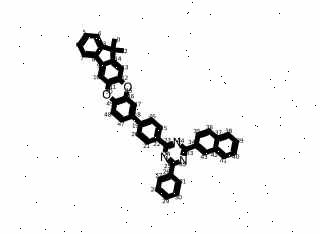 CC1(C)c2ccccc2-c2cc3c(cc21)Oc1cc(-c2ccc(-c4nc(-c5ccccc5)nc(-c5ccc6ccccc6c5)n4)cc2)ccc1O3